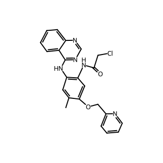 Cc1cc(Nc2ncnc3ccccc23)c(NC(=O)CCl)cc1OCc1ccccn1